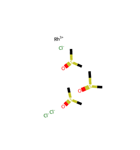 CS(C)=O.CS(C)=O.CS(C)=O.[Cl-].[Cl-].[Cl-].[Rh+3]